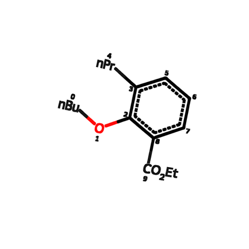 CCCCOc1c(CCC)cccc1C(=O)OCC